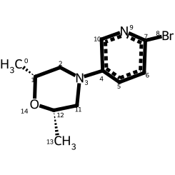 C[C@@H]1CN(c2ccc(Br)nc2)C[C@H](C)O1